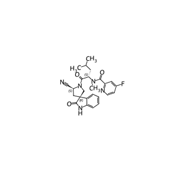 CC(C)C[C@@H](C(=O)N1C[C@]2(C[C@H]1C#N)C(=O)Nc1ccccc12)N(C)C(=O)c1cc(F)ccn1